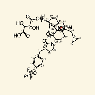 O=C(O)C(O)C(O)C(=O)O.O=C1C(Cc2ccc(OC(F)(F)F)cc2)CCN1[C@H]1CCC2(O)[C@H]3Cc4ccc(O)c5c4[C@@]2(CCN3CC2CC2)[C@H]1O5